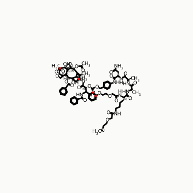 COCCOCC(=O)NCCCC[C@H](NC(=O)COCCOC)C(=O)N[C@H](C)C(=O)N[C@H](C)C(=O)N[C@H](CC(N)=O)C(=O)Nc1ccc(COC(=O)O[C@@H](C(=O)O[C@H]2C[C@@]3(O)[C@@H](OC(=O)c4ccccc4)[C@H]4[C@](C)(C(=O)[C@H](OC(C)=O)C(=C2C)C3(C)C)[C@@H](O)CC2OC[C@]24OC(C)=O)C(NC(=O)c2ccccc2)c2ccccc2)cc1